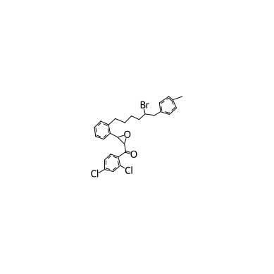 Cc1ccc(CC(Br)CCCCc2ccccc2C2OC2C(=O)c2ccc(Cl)cc2Cl)cc1